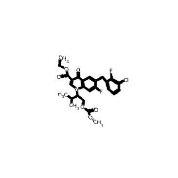 CCOC(=O)c1cn(C(COC(=O)OC)C(C)C)c2cc(F)c(Cc3cccc(Cl)c3F)cc2c1=O